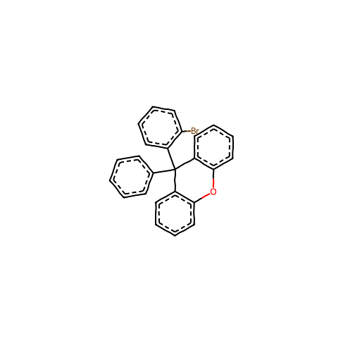 Brc1ccccc1C1(c2ccccc2)c2ccccc2Oc2ccccc21